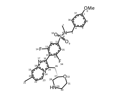 COc1ccc(CN(C)S(=O)(=O)c2cc(F)c(-c3nc4cc(C)ccn4c3C[C@H]3CNCCO3)c(F)c2)cc1